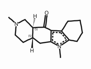 CN1CC[C@H]2Cc3c(c4c(n3C)CCCC4)C(=O)[C@@H]2C1